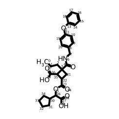 CCCC1(C(=O)NCc2ccc(Oc3ccccc3)cc2)CC(C(=O)OC(C(=O)O)C2CCCC2)C1C(=O)O